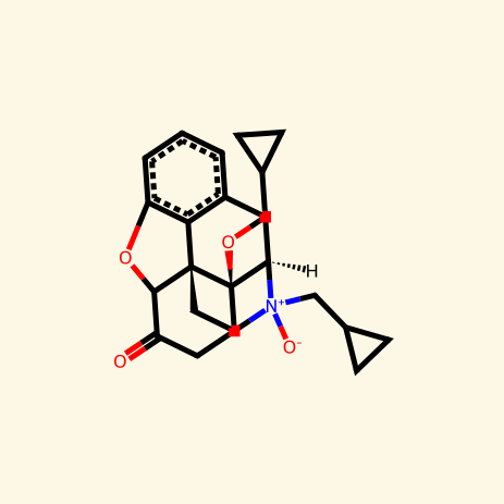 O=C1CC[C@@]2(OCC3CC3)[C@H]3Cc4cccc5c4[C@@]2(CC[N+]3([O-])CC2CC2)C1O5